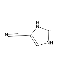 N#CC1=CN[CH]N1